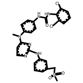 CN(c1ccc(NC(=O)Nc2c(Cl)cccc2Cl)cc1)c1ccnc(Nc2cccc(CS(C)(=O)=O)c2)n1